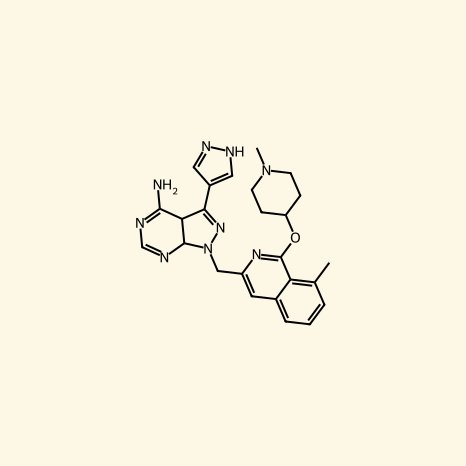 Cc1cccc2cc(CN3N=C(c4cn[nH]c4)C4C(N)=NC=NC43)nc(OC3CCN(C)CC3)c12